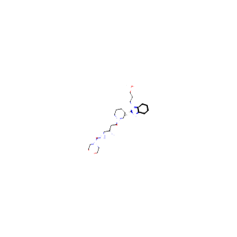 COCCCn1c([C@@H]2CCCN(C(=O)C[C@H](N)CNC(=O)N3CCOCC3)C2)nc2ccccc21